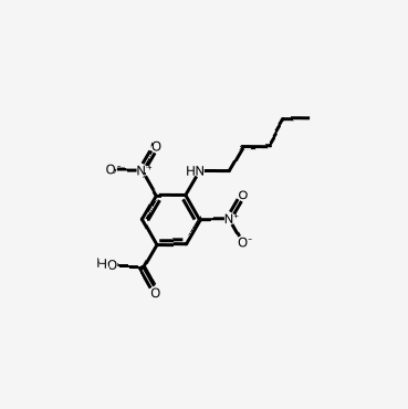 CCCCCNc1c([N+](=O)[O-])cc(C(=O)O)cc1[N+](=O)[O-]